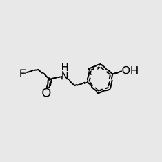 O=C(CF)NCc1ccc(O)cc1